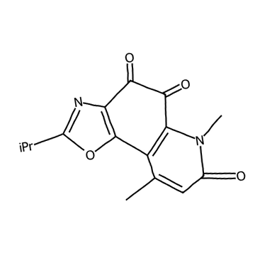 Cc1cc(=O)n(C)c2c1-c1oc(C(C)C)nc1C(=O)C2=O